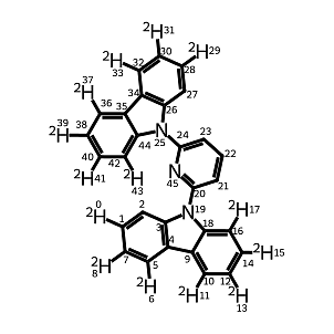 [2H]c1cc2c(c([2H])c1[2H])c1c([2H])c([2H])c([2H])c([2H])c1n2-c1cccc(-n2c3cc([2H])c([2H])c([2H])c3c3c([2H])c([2H])c([2H])c([2H])c32)n1